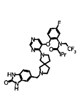 CC(C)C(=O)N(CC(F)(F)F)c1cc(F)ccc1Oc1cncnc1N1CCC2(CCN(Cc3ccc4[nH]c(=O)[nH]c4c3)C2)C1